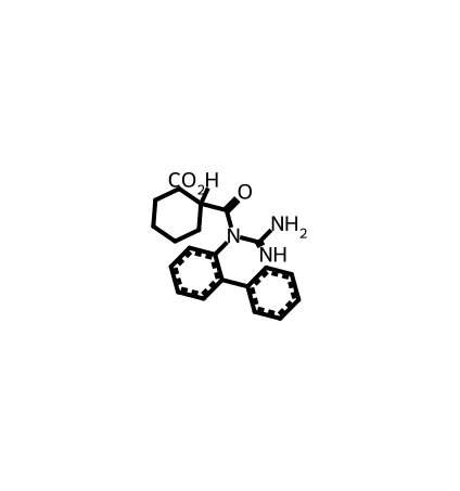 N=C(N)N(C(=O)C1(C(=O)O)CCCCC1)c1ccccc1-c1ccccc1